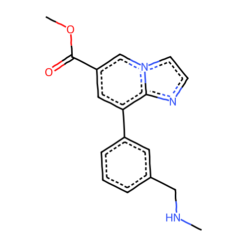 CNCc1cccc(-c2cc(C(=O)OC)cn3ccnc23)c1